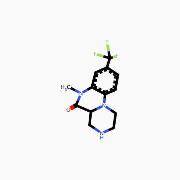 CN1C(=O)C2CNCCN2c2ccc(C(F)(F)F)cc21